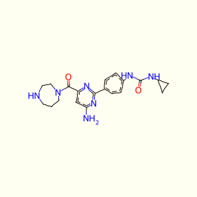 Nc1cc(C(=O)N2CCCNCC2)nc(-c2ccc(NC(=O)NC3CC3)cc2)n1